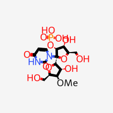 CO[C@H]1[C@@H](CO)OC([C@@]2(n3ccc(=O)[nH]c3=O)O[C@H](CO)[C@@H](O)[C@H]2OP(=O)(O)O)[C@@H]1O